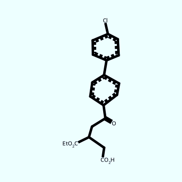 CCOC(=O)C(CC(=O)O)CC(=O)c1ccc(-c2ccc(Cl)cc2)cc1